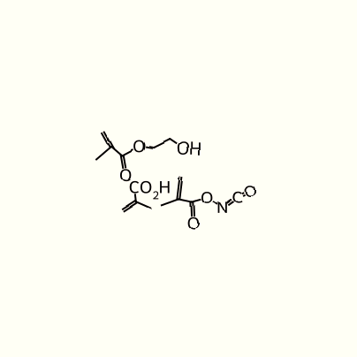 C=C(C)C(=O)O.C=C(C)C(=O)OCCO.C=C(C)C(=O)ON=C=O